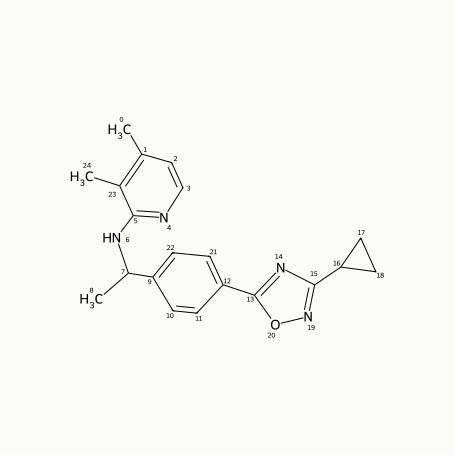 Cc1ccnc(NC(C)c2ccc(-c3nc(C4CC4)no3)cc2)c1C